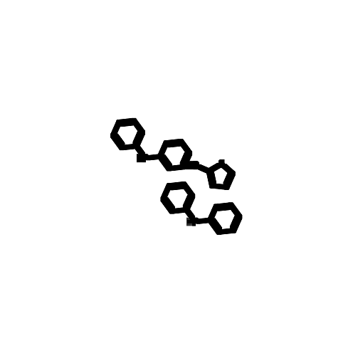 Oc1cccs1.c1ccc(Pc2ccccc2)cc1.c1ccc(Pc2ccccc2)cc1